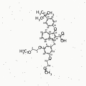 COCCOc1cc(Cn2c(C(=O)O)c(Oc3ccc(C(C)(C)C)cc3)c3ccccc32)cc(OCCOC)c1